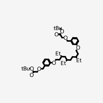 CCC(CCOc1cccc(COCC(=O)OC(C)(C)C)c1)CCC(CC)CC(CC)CCOc1cccc(COCC(=O)OC(C)(C)C)c1